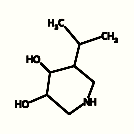 CC(C)C1CNCC(O)C1O